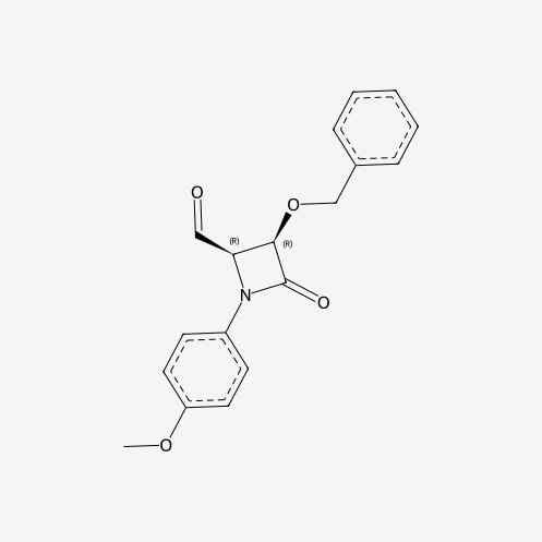 COc1ccc(N2C(=O)[C@H](OCc3ccccc3)[C@@H]2C=O)cc1